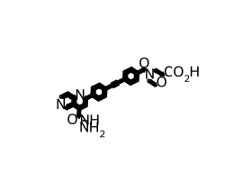 NNC(=O)c1cc(-c2ccc(C#Cc3ccc(C(=O)N4CCOC(C(=O)O)C4)cc3)cc2)nc2ccncc12